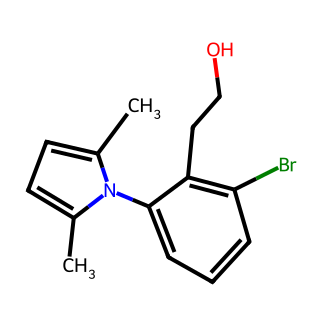 Cc1ccc(C)n1-c1cccc(Br)c1CCO